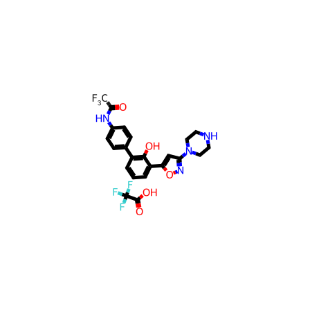 O=C(Nc1ccc(-c2cccc(-c3cc(N4CCNCC4)no3)c2O)cc1)C(F)(F)F.O=C(O)C(F)(F)F